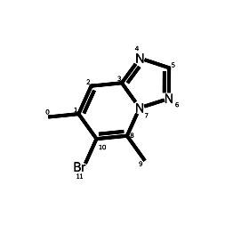 Cc1cc2ncnn2c(C)c1Br